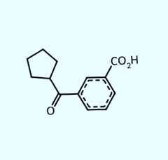 O=C(O)c1cccc(C(=O)C2CCCC2)c1